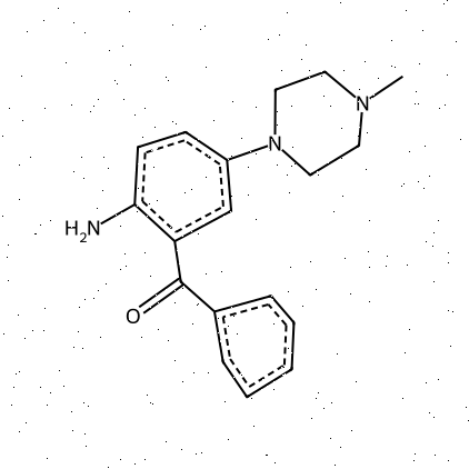 CN1CCN(c2ccc(N)c(C(=O)c3ccccc3)c2)CC1